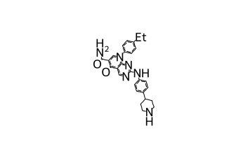 CCc1ccc(-n2cc(C(N)=O)c(=O)c3cnc(Nc4ccc(C5CCNCC5)cc4)nc32)cc1